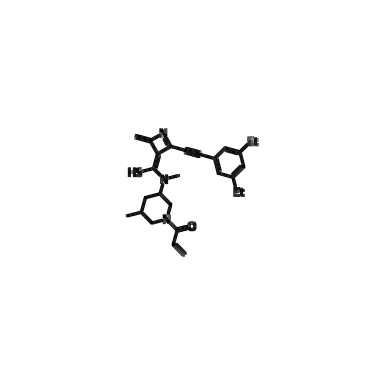 C=CC(=O)N1CC(C)CC(N(C)/C(S)=C2/C(=C)N=C2C#Cc2cc(CC)cc(CC)c2)C1